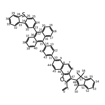 C=Cc1oc2c(ccc3cc(-c4ccc(-c5c6ccccc6c(-c6ccc7sc8ccccc8c7c6)c6ccccc56)cc4)ccc32)c1C1=C(C)c2ccccc2C1(C)C